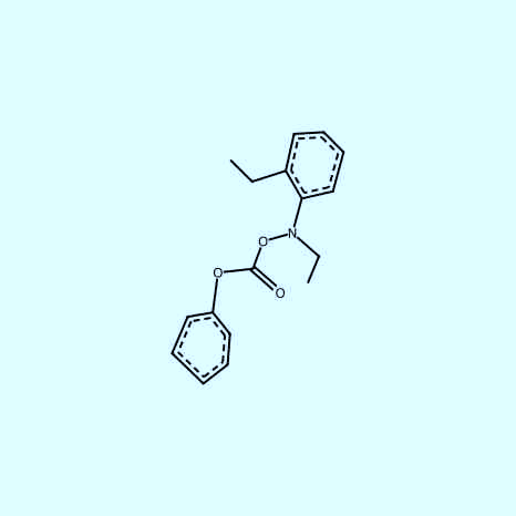 CCc1ccccc1N(CC)OC(=O)Oc1ccccc1